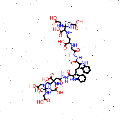 CC(NCC(=O)O)(NCC(=O)O)C(NCCC(NCC(=O)NNC(=O)c1[nH]c2ccccc2c1Cc1c(C(=O)NNC(=O)CC(N)(CCN(CC(=O)O)C(C)(NCC(=O)O)NCC(=O)O)C(=O)O)[nH]c2ccccc12)C(=O)O)C(=O)O